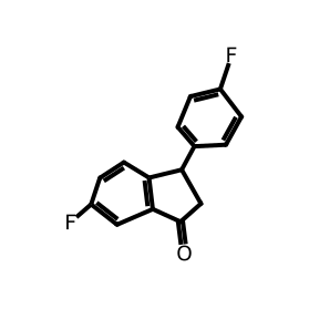 O=C1CC(c2ccc(F)cc2)c2ccc(F)cc21